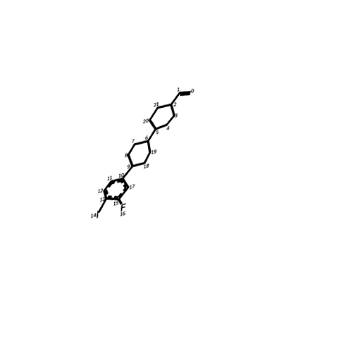 C=CC1CCC(C2CCC(c3ccc(I)c(F)c3)CC2)CC1